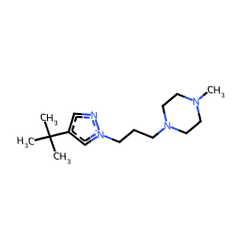 CN1CCN(CCCn2cc(C(C)(C)C)cn2)CC1